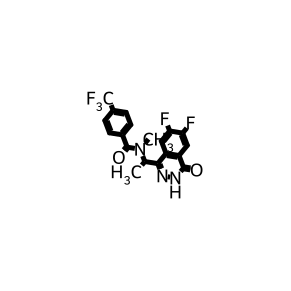 CC(c1n[nH]c(=O)c2cc(F)c(F)cc12)N(C)C(=O)c1ccc(C(F)(F)F)cc1